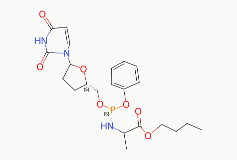 CCCCOC(=O)C(C)N[P@](OC[C@@H]1CCC(n2ccc(=O)[nH]c2=O)O1)Oc1ccccc1